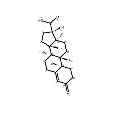 CCC(O)[C@]1(O)CC[C@H]2[C@@H]3CCC4=CC(=O)CC[C@]4(C)[C@H]3CC[C@@]21C